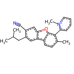 Cc1ccc2c(oc3cc(C#N)c(CC(C)C)cc32)c1-c1cccc[n+]1C